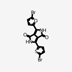 O=C1NC(c2ccc(Br)s2)=C2C(=O)NC(c3ccc(Br)o3)=C12